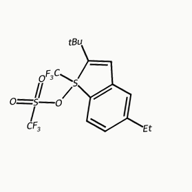 CCc1ccc2c(c1)C=C(C(C)(C)C)S2(OS(=O)(=O)C(F)(F)F)C(F)(F)F